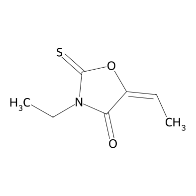 CC=C1OC(=S)N(CC)C1=O